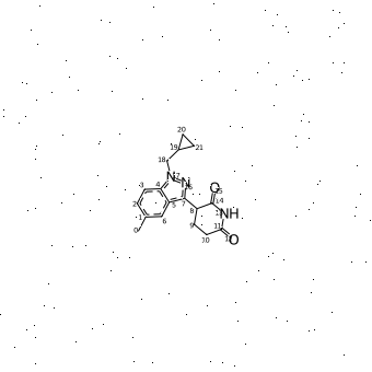 Cc1ccc2c(c1)c(C1CCC(=O)NC1=O)nn2CC1CC1